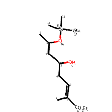 CCOC(=O)/C(C)=C/CC(O)CC(C)O[Si](C)(C)C(C)(C)C